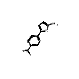 Nc1ccc(-c2ccc(C(F)F)cc2)s1